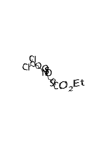 CCOC(=O)c1ccc(CCCN(CCCOc2cc(Cl)cc(Cl)c2)S(C)(=O)=O)s1